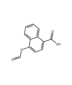 O=COc1ccc(C(=O)O)c2ccccc12